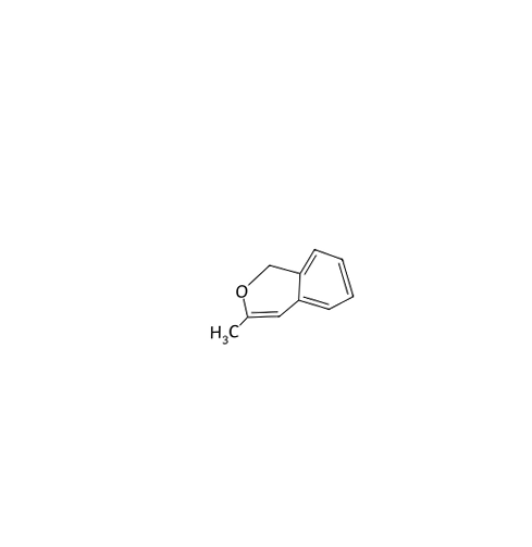 CC1=Cc2ccccc2CO1